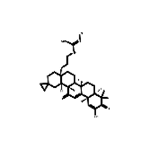 CN/C(=N\C#N)NCCO[C@]12CCC3(CC3)C[C@H]1[C@H]1C(=O)C=C3[C@@]4(C)C=C(C#N)C(=O)C(C)(C)[C@@H]4CC[C@@]3(C)[C@]1(C)CC2